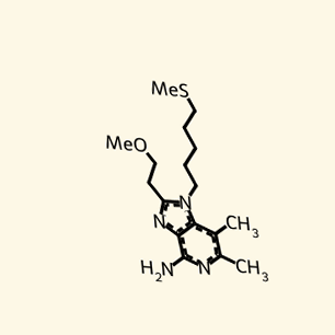 COCCc1nc2c(N)nc(C)c(C)c2n1CCCCCSC